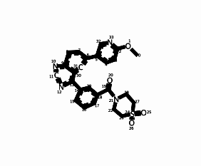 COc1ccc(-c2ccc3ncnc(-c4cccc(C(=O)N5CCS(=O)(=O)CC5)c4)c3c2)cn1